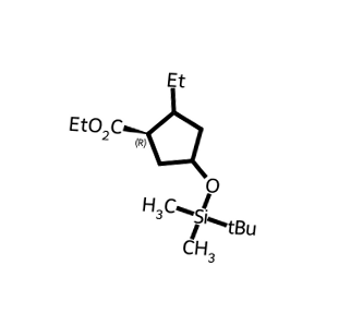 CCOC(=O)[C@@H]1CC(O[Si](C)(C)C(C)(C)C)CC1CC